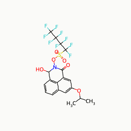 CC(C)Oc1cc2c3c(cccc3c1)C(O)N(OS(=O)(=O)C(F)(F)C(F)(F)C(F)(F)C(F)(F)F)C2=O